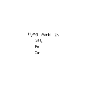 [Cu].[Fe].[MgH2].[Mn].[Ni].[SiH4].[Zn]